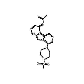 C=C(C)/N=C(\C=C/N)n1ccc2c(N3CCN(S(C)(=O)=O)CC3)cccc21